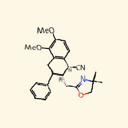 COc1ccc2c(c1OC)CC(c1ccccc1)[C@@H](CC1=NC(C)(C)CO1)[C@@H]2C#N